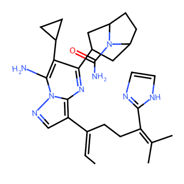 C/C=C(\CCC(=C(C)C)c1ncc[nH]1)c1cnn2c(N)c(C3CC3)c(C3CC4CCC(C3)N4C(N)=O)nc12